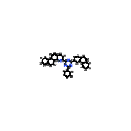 c1ccc(-c2nc(-c3ccc4ccc5ccccc5c4c3)nc(-c3ccc4ccc5c6ccccc6ccc5c4n3)n2)cc1